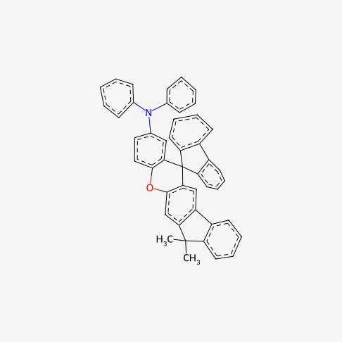 CC1(C)c2ccccc2-c2cc3c(cc21)Oc1ccc(N(c2ccccc2)c2ccccc2)cc1C31c2ccccc2-c2ccccc21